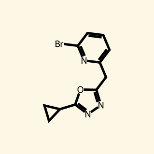 Brc1cccc(Cc2nnc(C3CC3)o2)n1